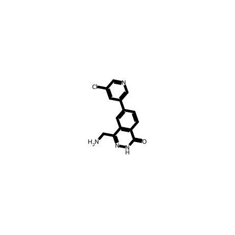 NCc1n[nH]c(=O)c2ccc(-c3cncc(Cl)c3)cc12